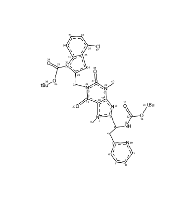 Cn1c(C(Cc2ccccn2)NC(=O)OC(C)(C)C)nc2c1c(=O)n(Cc1cc3c(Cl)cccc3n1C(=O)OC(C)(C)C)c(=O)n2C